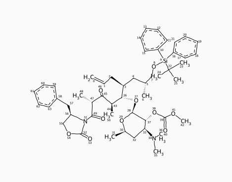 C=CC[C@@H](C[C@@H](C)CO[Si](c1ccccc1)(c1ccccc1)C(C)(C)C)[C@H](O[C@@H]1O[C@H](C)C[C@H](N(C)C)[C@H]1OC(=O)OC)[C@@H](C)C(=O)[C@@H](C)C(=O)N1C(=O)OC[C@H]1Cc1ccccc1